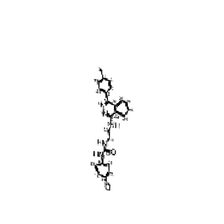 Cc1ccc(-c2nnc(NCCNC(=O)Nc3ccc(Cl)cc3)c3ccccc23)cc1